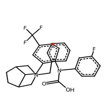 O=C(O)N(c1cccc(F)c1)c1ccc(C(F)(F)F)cc1CC1C2CCC1CN(Cc1ccccc1)C2